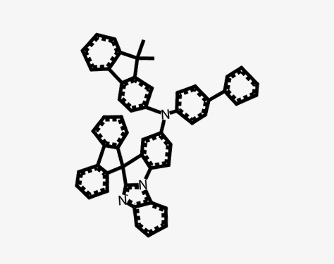 CC1(C)c2ccccc2-c2ccc(N(c3ccc(-c4ccccc4)cc3)c3ccc4c(c3)C3(c5ccccc5-c5ccccc53)c3nc5ccccc5n3-4)cc21